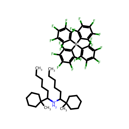 CCCCCC([NH2+]C(CCCCC)C1(C)CCCCC1)C1(C)CCCCC1.Fc1c(F)c(F)c([B-](c2c(F)c(F)c(F)c(F)c2F)(c2c(F)c(F)c(F)c(F)c2F)c2c(F)c(F)c(F)c(F)c2F)c(F)c1F